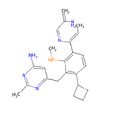 C=C(N)/C=N\C(=C/C)c1ccc(C2CCC2)c(Cc2cc(N)nc(C)n2)c1PC